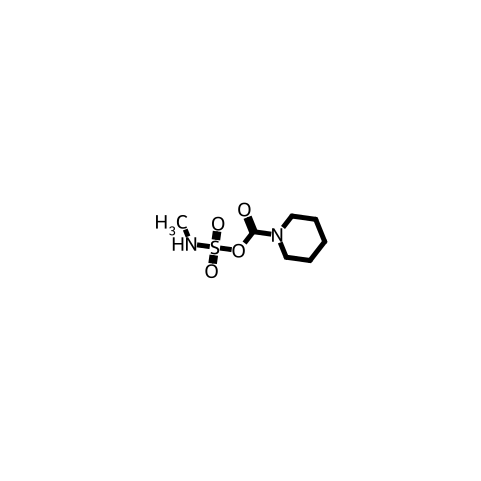 CNS(=O)(=O)OC(=O)N1CCCCC1